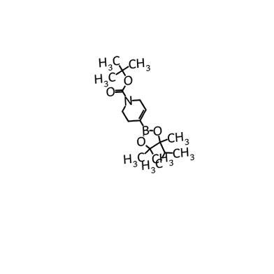 CC(C)C1(C)OB(C2=CCN(C(=O)OC(C)(C)C)CC2)OC1(C)C